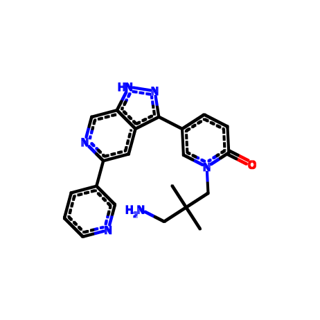 CC(C)(CN)Cn1cc(-c2n[nH]c3cnc(-c4cccnc4)cc23)ccc1=O